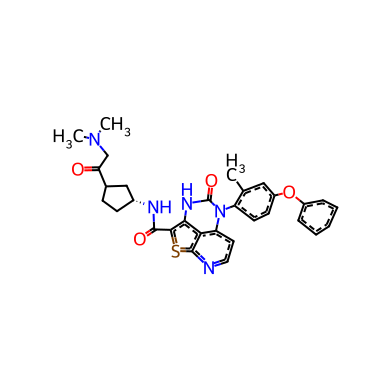 Cc1cc(Oc2ccccc2)ccc1N1C(=O)Nc2c(C(=O)N[C@@H]3CCC(C(=O)CN(C)C)C3)sc3nccc1c23